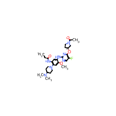 C=CC(=O)Nc1cc(Nc2ncc(F)c(O[C@@H]3CCN(C(C)=O)C3)n2)c(OC)cc1N1CCC(N(C)C)CC1